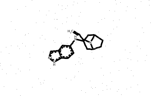 C=CCN1C2CCC1CC(Nc1ccc3[nH]ncc3c1)C2